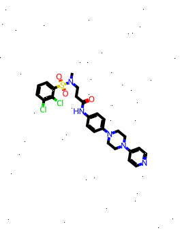 CN(CCC(=O)Nc1ccc(N2CCN(c3ccncc3)CC2)cc1)S(=O)(=O)c1cccc(Cl)c1Cl